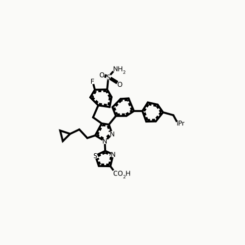 CC(C)Cc1ccc(-c2cccc(-c3nn(-c4nc(C(=O)O)cs4)c(CCC4CC4)c3Cc3ccc(S(N)(=O)=O)c(F)c3)c2)cc1